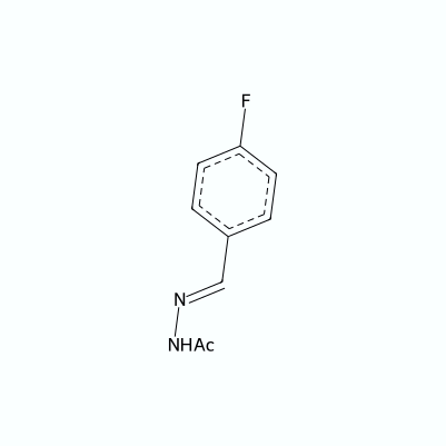 [CH2]C(=O)NN=Cc1ccc(F)cc1